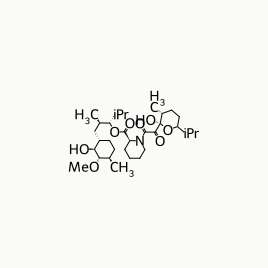 CO[C@@H]1[C@@H](O)[C@H](C[C@@H](C)[C@@H](OC(=O)[C@@H]2CCCCN2C(=O)C(=O)[C@]2(O)OC(C(C)C)CC[C@H]2C)C(C)C)CC[C@H]1C